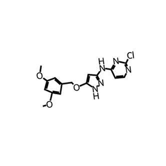 COc1cc(COc2cc(Nc3ccnc(Cl)n3)n[nH]2)cc(OC)c1